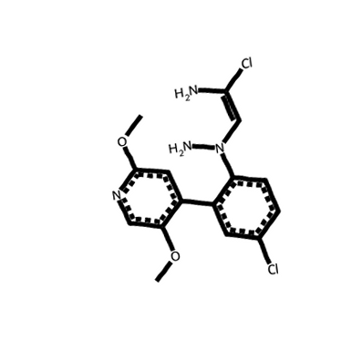 COc1cc(-c2cc(Cl)ccc2N(N)/C=C(\N)Cl)c(OC)cn1